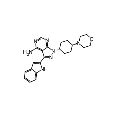 Nc1ncnc2c1c(-c1cc3ccccc3[nH]1)nn2[C@H]1CC[C@H](N2CCOCC2)CC1